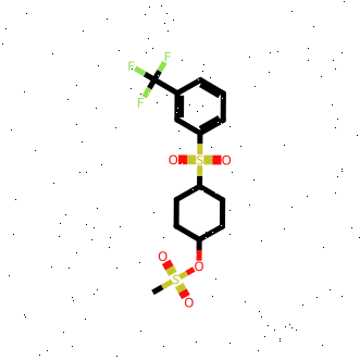 CS(=O)(=O)OC1CCC(S(=O)(=O)c2cccc(C(F)(F)F)c2)CC1